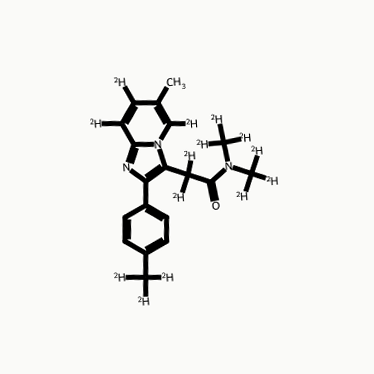 [2H]c1c(C)c([2H])n2c(C([2H])([2H])C(=O)N(C([2H])([2H])[2H])C([2H])([2H])[2H])c(-c3ccc(C([2H])([2H])[2H])cc3)nc2c1[2H]